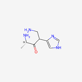 C[C@H](N)C(=O)C(CN)c1c[nH]cn1